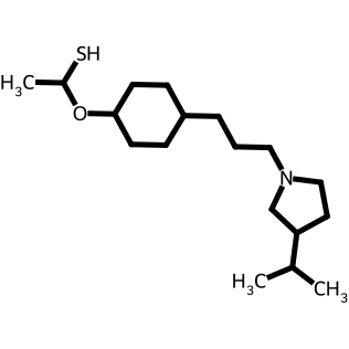 CC(S)OC1CCC(CCCN2CCC(C(C)C)C2)CC1